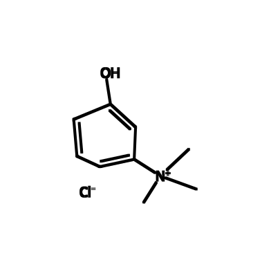 C[N+](C)(C)c1cccc(O)c1.[Cl-]